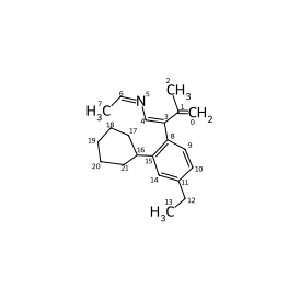 C=C(C)/C(=C\N=C/C)c1ccc(CC)cc1C1CCCCC1